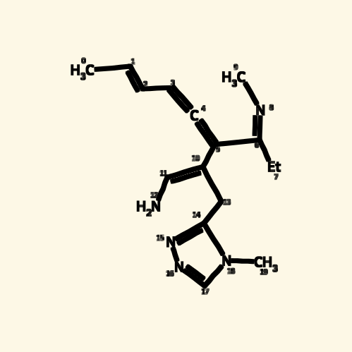 C/C=C/C=C=C(/C(CC)=N\C)/C(=C/N)Cc1nncn1C